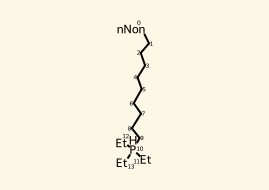 CCCCCCCCCCCCCCCCCC[PH](CC)(CC)CC